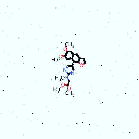 COc1cc2cc3ccoc3c(-c3cnc(N(C)CC(OC)OC)nc3)c2cc1OC